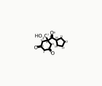 O=C1CC(=O)CC(C(=O)O)(C(=O)C2CCCC2)C1